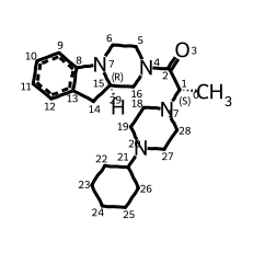 C[C@@H](C(=O)N1CCN2c3ccccc3C[C@@H]2C1)N1CCN(C2CCCCC2)CC1